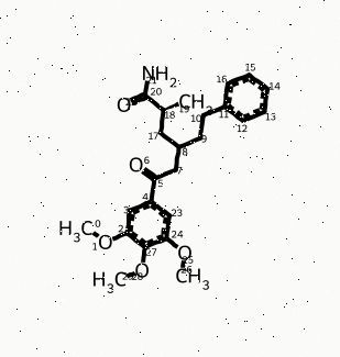 COc1cc(C(=O)C[C](CCc2ccccc2)C[C@H](C)C(N)=O)cc(OC)c1OC